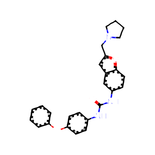 O=C(Nc1ccc(Oc2ccccc2)cc1)Nc1ccc2oc(CN3CCCC3)cc2c1